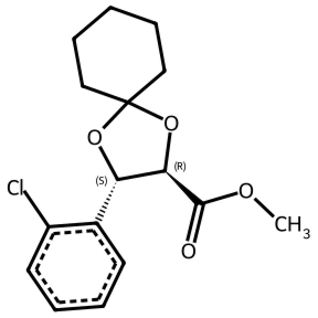 COC(=O)[C@@H]1OC2(CCCCC2)O[C@H]1c1ccccc1Cl